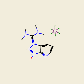 CN(C)C(N(C)C)=[N+]1N=[N+]([O-])c2ncccc21.F[P-](F)(F)(F)(F)F